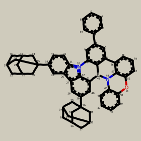 c1ccc(-c2cc3c4c(c2)-n2c5ccc(C67CC8CC(CC(C8)C6)C7)cc5c5cc(C67CC8CC(CC(C8)C6)C7)cc(c52)B4N2c4ccccc4Oc4cccc-3c42)cc1